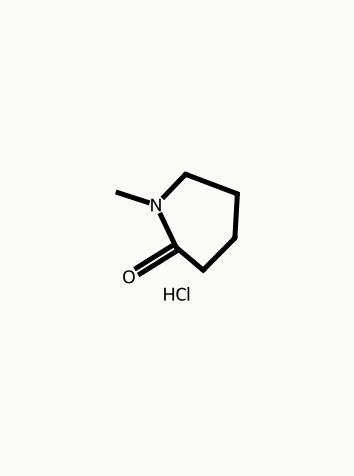 CN1CCCCC1=O.Cl